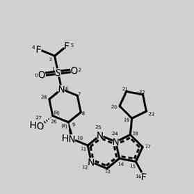 O=S(=O)(C(F)F)N1CC[C@@H](Nc2ncc3c(F)cc(C4CCCC4)n3n2)[C@H](O)C1